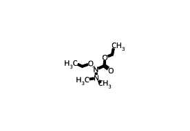 CCOC(=O)N(OCC)N(C)C